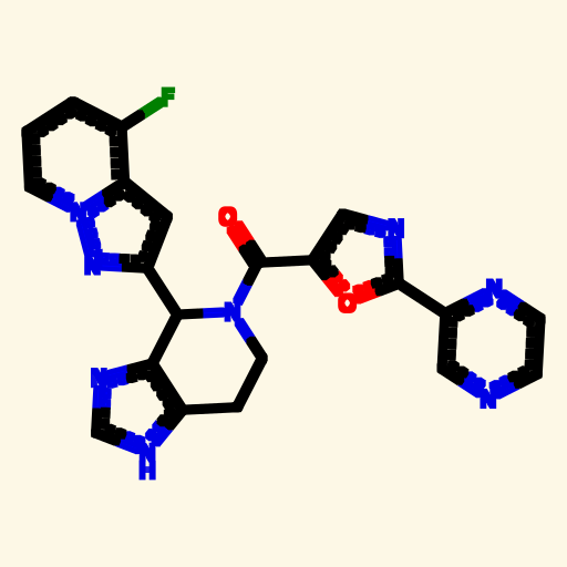 O=C(c1cnc(-c2cnccn2)o1)N1CCc2[nH]cnc2C1c1cc2c(F)cccn2n1